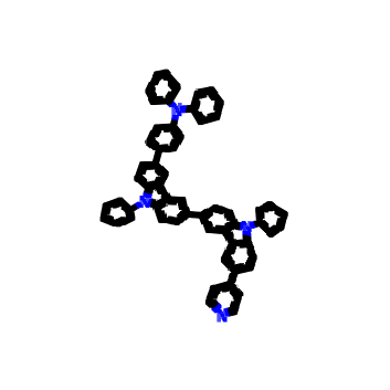 c1ccc(N(c2ccccc2)c2ccc(-c3ccc4c(c3)c3cc(-c5ccc6c(c5)c5cc(-c7ccncc7)ccc5n6-c5ccccc5)ccc3n4-c3ccccc3)cc2)cc1